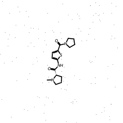 CN1CCC[C@H]1C(=O)Nc1ccc(C(=O)N2CCCC2)s1